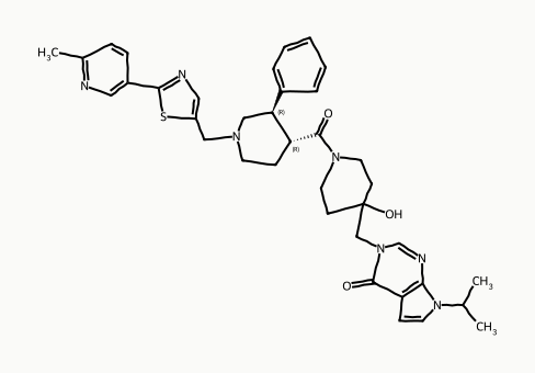 Cc1ccc(-c2ncc(CN3CC[C@@H](C(=O)N4CCC(O)(Cn5cnc6c(ccn6C(C)C)c5=O)CC4)[C@H](c4ccccc4)C3)s2)cn1